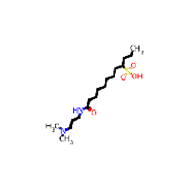 CCCC(CCCCCCCC(=O)NCCCN(C)C)S(=O)(=O)O